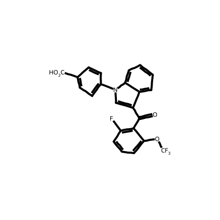 O=C(O)c1ccc(-n2cc(C(=O)c3c(F)cccc3OC(F)(F)F)c3ccccc32)cc1